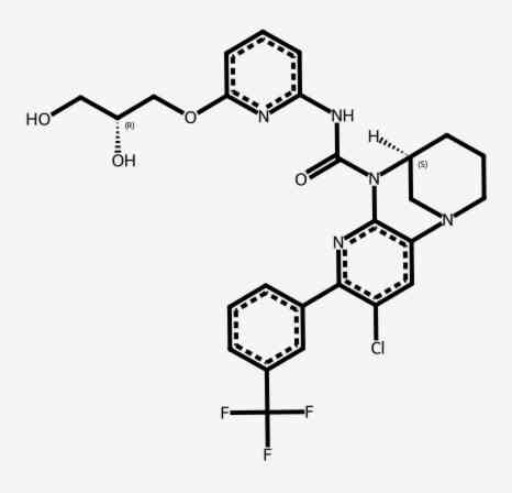 O=C(Nc1cccc(OC[C@H](O)CO)n1)N1c2nc(-c3cccc(C(F)(F)F)c3)c(Cl)cc2N2CCC[C@H]1C2